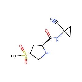 CS(=O)(=O)[C@H]1CN[C@H](C(=O)NC2(C#N)CC2)C1